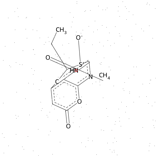 C.CCC1Cc2cc(=O)oc3nc([nH]c(=O)c23)[S+]1[O-]